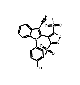 CS(=O)(=O)c1noc(S(C)(=O)=O)c1-c1c(C#N)c2ccccc2n1-c1ccc(O)cc1